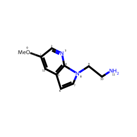 COc1cnc2c(ccn2CCN)c1